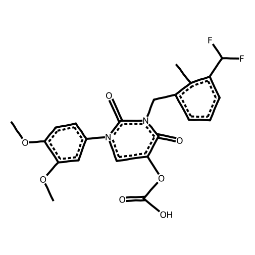 COc1ccc(-n2cc(OC(=O)O)c(=O)n(Cc3cccc(C(F)F)c3C)c2=O)cc1OC